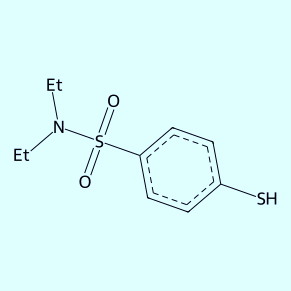 CCN(CC)S(=O)(=O)c1ccc(S)cc1